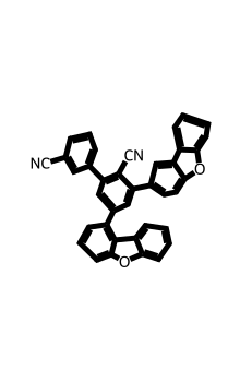 N#Cc1cccc(-c2cc(-c3cccc4oc5ccccc5c34)cc(-c3ccc4oc5ccccc5c4c3)c2C#N)c1